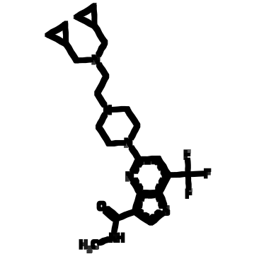 CNC(=O)c1csc2c(C(F)(F)F)cc(N3CCN(CCN(CC4CC4)CC4CC4)CC3)nc12